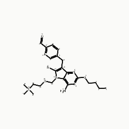 CCCCOc1nc(N)c2c(n1)c(Cc1ccc(C=O)nc1)c(Br)n2COCC[Si](C)(C)C